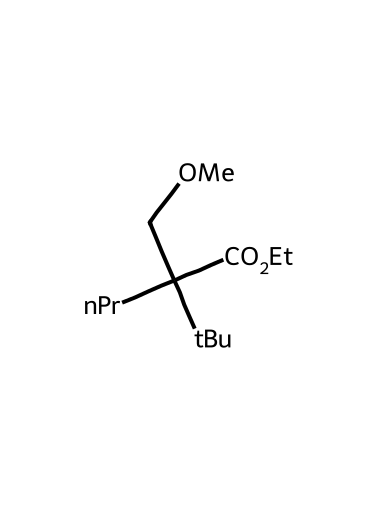 CCCC(COC)(C(=O)OCC)C(C)(C)C